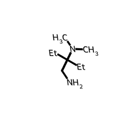 CCC(CC)(CN)N(C)C